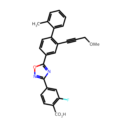 COCC#Cc1cc(-c2nc(-c3ccc(C(=O)O)c(F)c3)no2)ccc1-c1ccccc1C